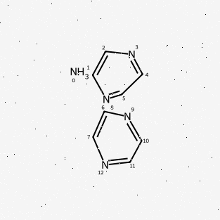 N.c1cnccn1.c1cnccn1